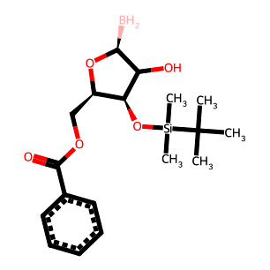 B[C@@H]1O[C@H](COC(=O)c2ccccc2)[C@H](O[Si](C)(C)C(C)(C)C)C1O